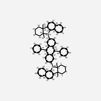 CC12CCCCC1(C)N(c1ccc3c(-c4ccccc4)c4cc(N5c6c(ccc7ccccc67)C6(C)CCCCC56C)ccc4c(-c4ccccc4)c3c1)c1c2ccc2ccccc12